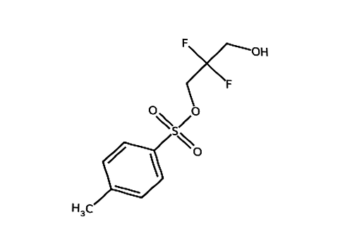 Cc1ccc(S(=O)(=O)OCC(F)(F)CO)cc1